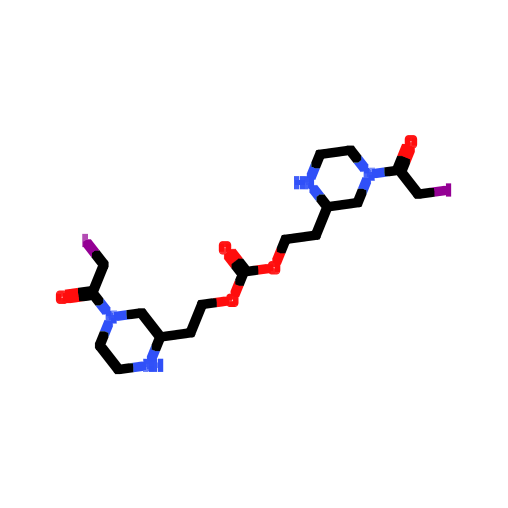 O=C(OCCC1CN(C(=O)CI)CCN1)OCCC1CN(C(=O)CI)CCN1